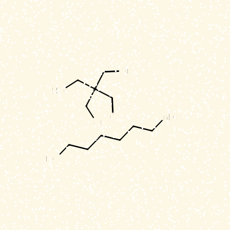 CCCCCCCCCCCCCCCCO.OCC(CO)(CO)CO